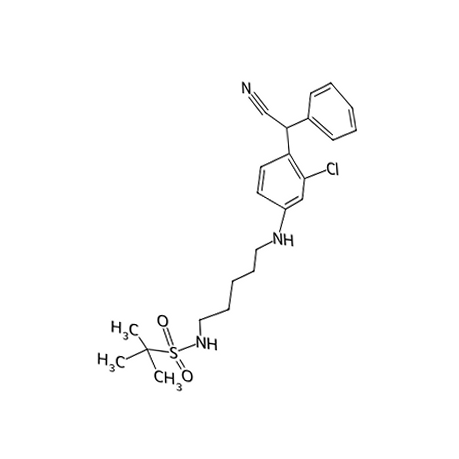 CC(C)(C)S(=O)(=O)NCCCCCNc1ccc(C(C#N)c2ccccc2)c(Cl)c1